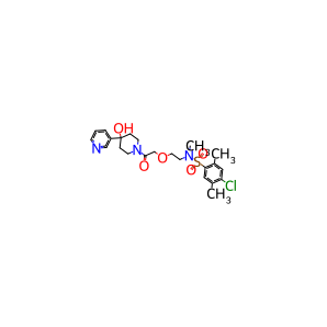 Cc1cc(S(=O)(=O)N(C)CCOCC(=O)N2CCC(O)(c3cccnc3)CC2)c(C)cc1Cl